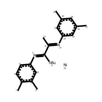 CCCCC(=N\c1ccc(C)c(C)c1)/C(C)=N/c1cc(C)cc(C)c1.[Ni]